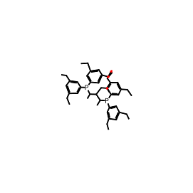 CCCC(C(C)P(c1cc(CC)cc(CC)c1)c1cc(CC)cc(CC)c1)C(C)P(c1cc(CC)cc(CC)c1)c1cc(CC)cc(CC)c1